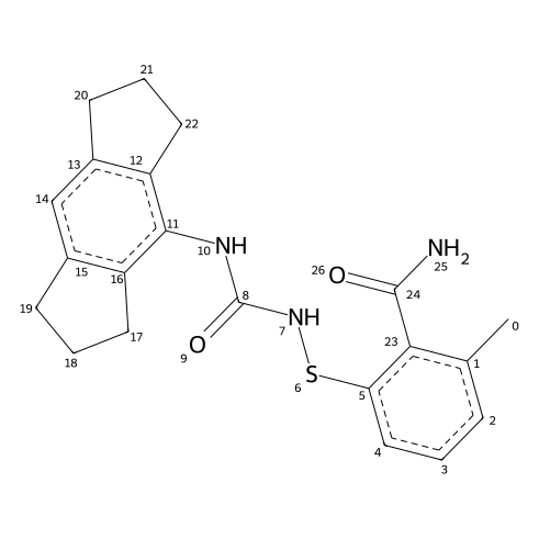 Cc1cccc(SNC(=O)Nc2c3c(cc4c2CCC4)CCC3)c1C(N)=O